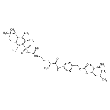 Cc1c(C)c(S(=O)(=O)NC(=N)NCCC[C@H](N)C(=O)Nc2ccc(COC(=O)N[C@H](CC(C)C)C(=O)NN)cc2)c(C)c2c1OC(C)(C)CC2